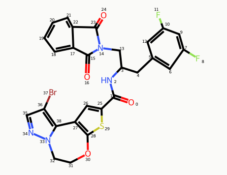 O=C(NC(Cc1cc(F)cc(F)c1)CN1C(=O)c2ccccc2C1=O)c1cc2c(s1)OCCn1ncc(Br)c1-2